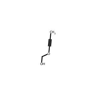 CC#COCO